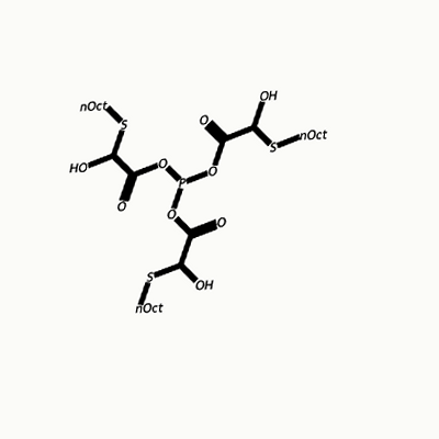 CCCCCCCCSC(O)C(=O)OP(OC(=O)C(O)SCCCCCCCC)OC(=O)C(O)SCCCCCCCC